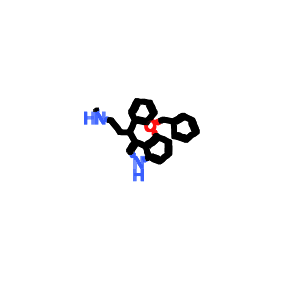 CNCCC(c1ccccc1)c1c[nH]c2cccc(OCc3ccccc3)c12